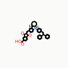 O=C(O)c1ccc2c(c1)C(=O)/C(=C/c1ccc3c(c1)[C@H]1CCCCC[C@H]1N3c1ccc(C=C(c3ccccc3)c3ccccc3)cc1)C2=O